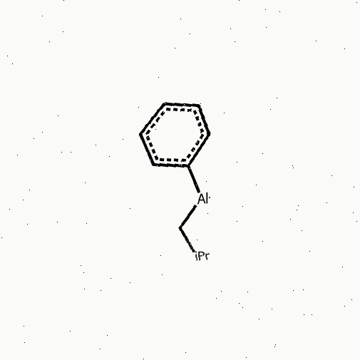 CC(C)[CH2][Al][c]1ccccc1